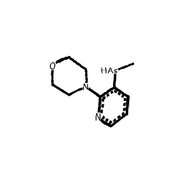 C[AsH]c1cccnc1N1CCOCC1